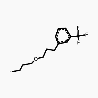 [CH2]CCCOCCCc1cccc(C(F)(F)F)c1